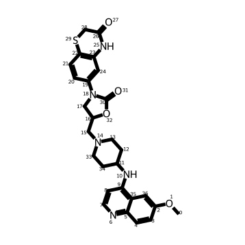 COc1ccc2nccc(NC3CCN(CC4CN(c5ccc6c(c5)NC(=O)CS6)C(=O)O4)CC3)c2c1